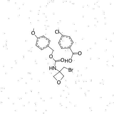 COc1ccc(COC(=O)NC2(CBr)COC2)cc1.O=C(O)c1ccc(Cl)cc1